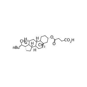 CCCC[C@@H](C)[C@H]1CC[C@H]2[C@@H]3CC=C4C[C@@H](OC(=O)CCC(=O)O)CC[C@]4(C)[C@H]3CC[C@]12C